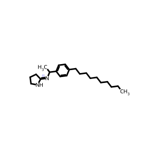 CCCCCCCCCCc1ccc(C(C)/N=C2\CCCN2)cc1